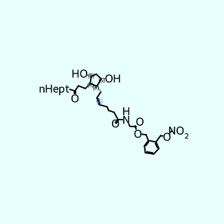 CCCCCCCC(=O)CC[C@@H]1[C@@H](C/C=C\CCCC(=O)NCC(=O)OCc2ccccc2CO[N+](=O)[O-])[C@@H](O)C[C@H]1O